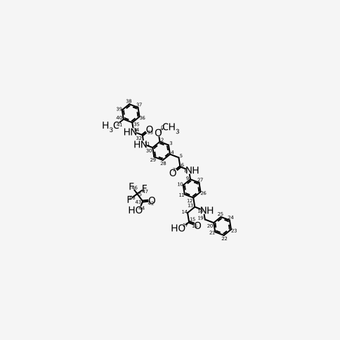 COc1cc(CC(=O)Nc2ccc(C(CC(=O)O)NCc3ccccc3)cc2)ccc1NC(=O)Nc1ccccc1C.O=C(O)C(F)(F)F